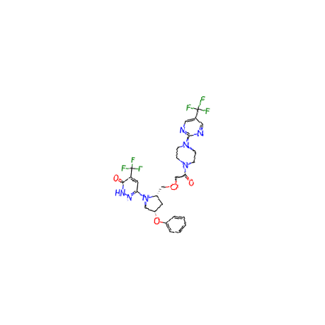 O=C(COC[C@@H]1C[C@H](Oc2ccccc2)CN1c1cc(C(F)(F)F)c(=O)[nH]n1)N1CCN(c2ncc(C(F)(F)F)cn2)CC1